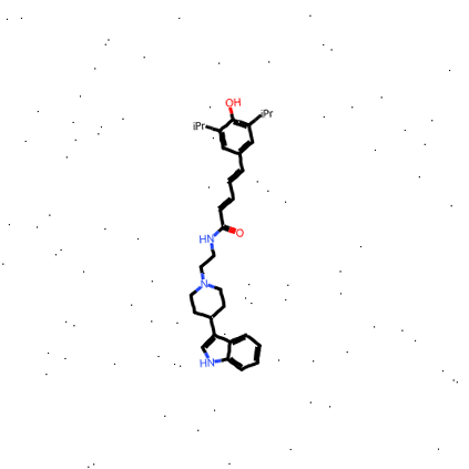 CC(C)c1cc(C=CC=CC(=O)NCCN2CCC(c3c[nH]c4ccccc34)CC2)cc(C(C)C)c1O